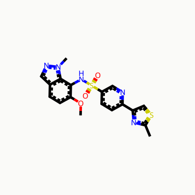 COc1ccc2cnn(C)c2c1NS(=O)(=O)c1ccc(-c2csc(C)n2)nc1